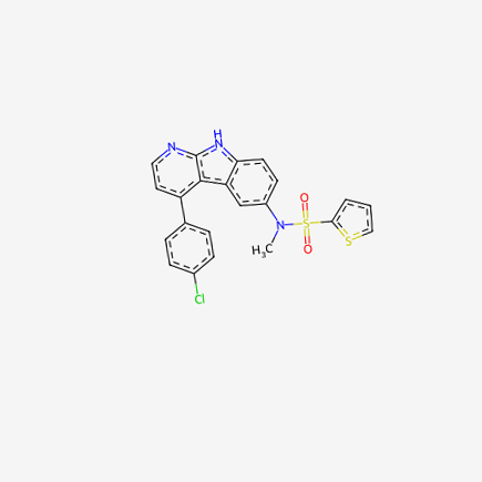 CN(c1ccc2[nH]c3nccc(-c4ccc(Cl)cc4)c3c2c1)S(=O)(=O)c1cccs1